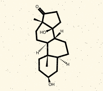 C[C@]12CC[C@H](O)C[C@@H]1CC[C@@H]1[C@@H]2CC[C@]2(C)C(=O)CC[C@]12O